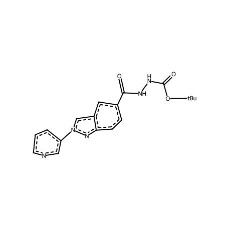 CC(C)(C)OC(=O)NNC(=O)c1ccc2nn(-c3cccnc3)cc2c1